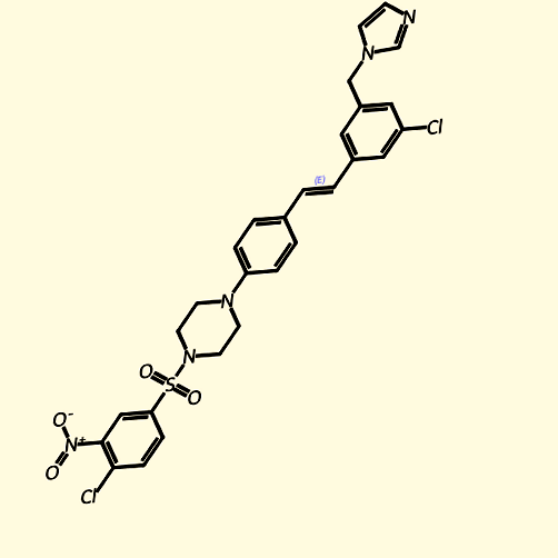 O=[N+]([O-])c1cc(S(=O)(=O)N2CCN(c3ccc(/C=C/c4cc(Cl)cc(Cn5ccnc5)c4)cc3)CC2)ccc1Cl